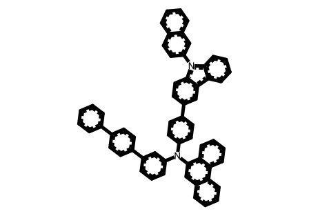 c1ccc(-c2ccc(-c3cccc(N(c4ccc(-c5ccc6c(c5)c5ccccc5n6-c5ccc6ccccc6c5)cc4)c4cc5ccccc5c5ccccc45)c3)cc2)cc1